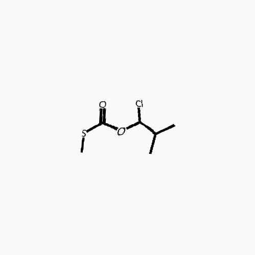 CSC(=O)OC(Cl)C(C)C